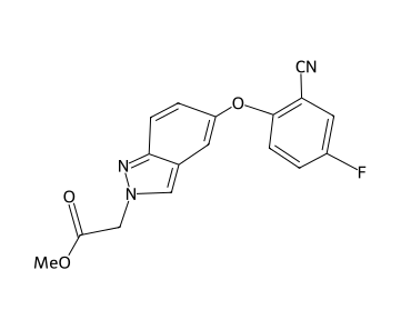 COC(=O)Cn1cc2cc(Oc3ccc(F)cc3C#N)ccc2n1